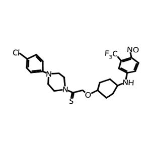 O=Nc1ccc(NC2CCC(OCC(=S)N3CCN(c4ccc(Cl)cc4)CC3)CC2)cc1C(F)(F)F